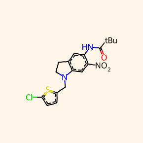 CC(C)(C)C(=O)Nc1cc2c(cc1[N+](=O)[O-])N(Cc1ccc(Cl)s1)CC2